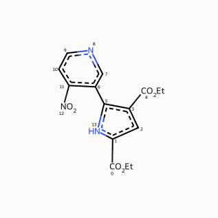 CCOC(=O)c1cc(C(=O)OCC)c(-c2cnccc2[N+](=O)[O-])[nH]1